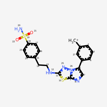 Cc1cccc(-c2cnc3sc(NCCc4ccc(S(N)(=O)=O)cc4)nn23)c1